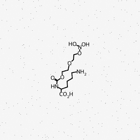 NCCCCC(NC(=O)OCCOCCON(O)O)C(=O)O